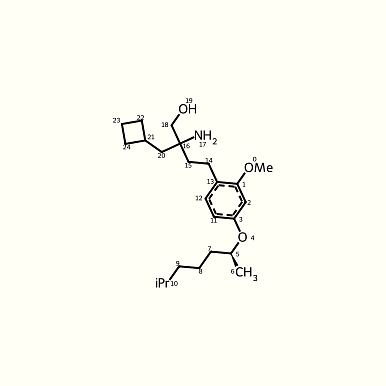 COc1cc(O[C@@H](C)CCCC(C)C)ccc1CCC(N)(CO)CC1CCC1